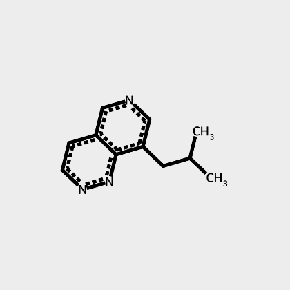 CC(C)Cc1cncc2ccnnc12